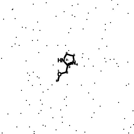 COCC1=NCCN1